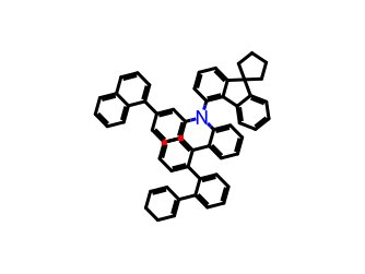 C1=CC(c2ccccc2-c2ccccc2-c2ccccc2N(c2cccc(-c3cccc4ccccc34)c2)c2cccc3c2-c2ccccc2C32CCCC2)=CCC1